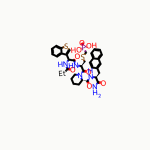 CCC(=O)NC(C(=O)N[C@@H](CSCP(=O)(O)O)C(=O)N1CCCC[C@H]1C(=O)N[C@@H](Cc1ccc2ccccc2c1)C(N)=O)c1csc2ccccc12